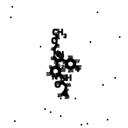 CCOCCn1cc(-c2ccnc(NC(=O)CC3CC3)c2)c(-c2ccc(F)cc2)n1